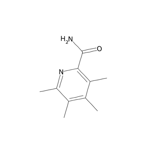 Cc1nc(C(N)=O)c(C)c(C)c1C